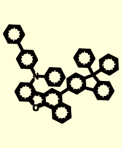 c1ccc(-c2ccc(N(c3ccccc3)c3cccc4oc5c6ccccc6c(-c6ccc7c(c6)-c6ccccc6C7(c6ccccc6)c6ccccc6)cc5c34)cc2)cc1